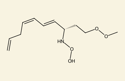 C=CC/C=C\C=C\[C@H](CCOOC)NOO